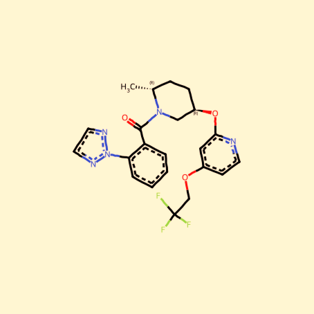 C[C@@H]1CC[C@@H](Oc2cc(OCC(F)(F)F)ccn2)CN1C(=O)c1ccccc1-n1nccn1